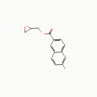 O=C(O)c1ccc2cc(C(=O)OCC3CO3)ccc2c1